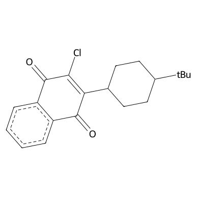 CC(C)(C)C1CCC(C2=C(Cl)C(=O)c3ccccc3C2=O)CC1